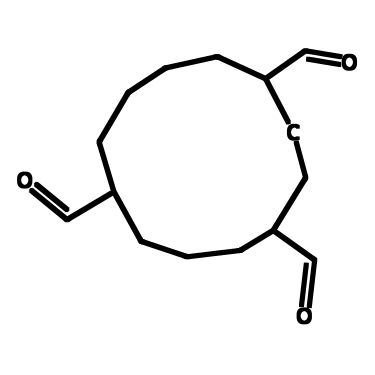 O=CC1CCCCC(C=O)CCC(C=O)CCC1